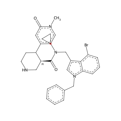 Cn1ccc(C2CCNC[C@@H]2C(=O)N(Cc2cn(Cc3ccccc3)c3cccc(Br)c23)C2CC2)cc1=O